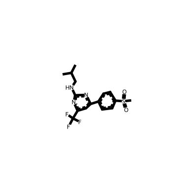 CC(C)CNc1nc(-c2ccc(S(C)(=O)=O)cc2)cc(C(F)(F)F)n1